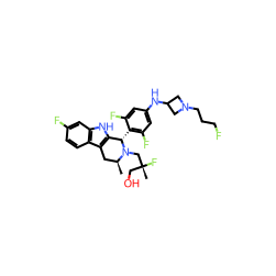 C[C@H]1Cc2c([nH]c3cc(F)ccc23)[C@H](c2c(F)cc(NC3CN(CCCF)C3)cc2F)N1C[C@](C)(F)CO